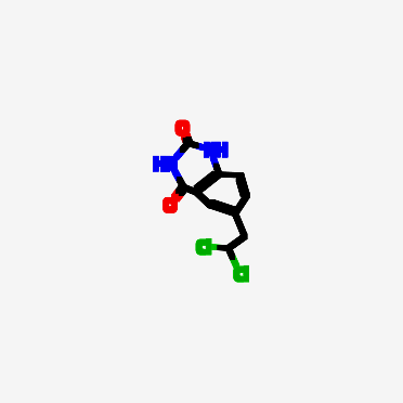 O=c1[nH]c(=O)c2cc(CC(Cl)Cl)ccc2[nH]1